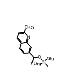 CCCCCCCCC(O[Si](C)(C)C(C)(C)C)c1ccc2ccc(C=O)nc2c1